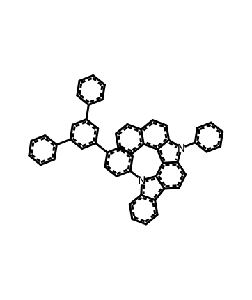 c1ccc(-c2cc(-c3ccccc3)cc(-c3ccc(-n4c5ccccc5c5ccc6c(c7c8ccccc8ccc7n6-c6ccccc6)c54)cc3)c2)cc1